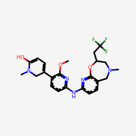 COc1nc(Nc2ccc3c(n2)OC(CC(F)(F)F)CN(C)C3)ccc1C1=CC=C(O)N(C)C1